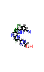 CC(C)(O)c1ncc(-c2nc3c(N[C@H](c4cc(C#N)ccc4F)C(F)F)c(Cl)cnc3cc2F)cn1